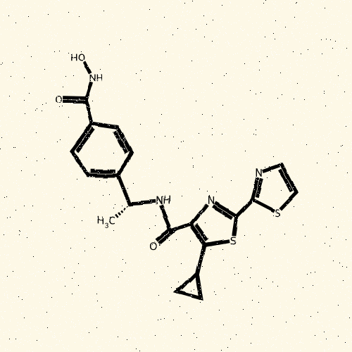 C[C@@H](NC(=O)c1nc(-c2nccs2)sc1C1CC1)c1ccc(C(=O)NO)cc1